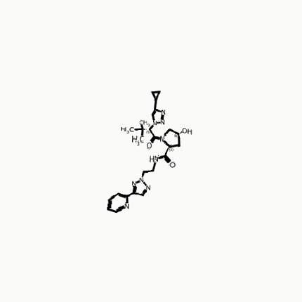 CC(C)(C)[C@@H](C(=O)N1C[C@H](O)C[C@H]1C(=O)NCCn1ncc(-c2ccccn2)n1)n1cc(C2CC2)nn1